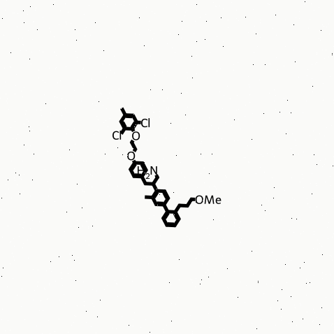 COCCCc1ccccc1-c1ccc(C(CN)Cc2ccc(OCCOc3c(Cl)cc(C)cc3Cl)cc2)c(C)c1